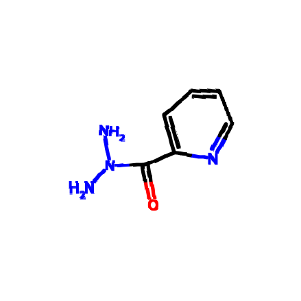 NN(N)C(=O)c1ccccn1